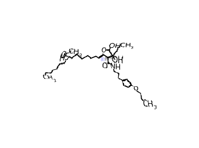 CCCCCCC[SH](C)(=O)CCCCCC/C=C/[C@H](C(=O)NCCCc1ccc(OCCCC)cc1)[C@@](O)(CCC)C(=O)O